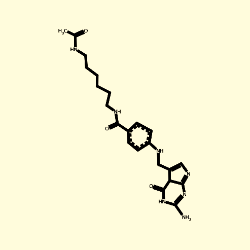 CC(=O)NCCCCCCNC(=O)c1ccc(NCC2=CN=C3N=C(N)NC(=O)C23)cc1